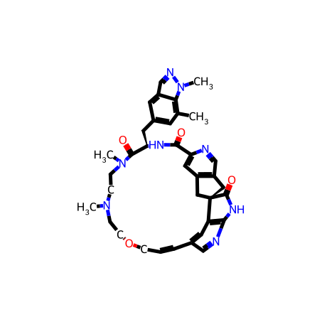 Cc1cc(C[C@H]2NC(=O)c3cc4c(cn3)C[C@@]3(C4)C(=O)Nc4ncc(cc43)/C=C/COCCN(C)CCN(C)C2=O)cc2cnn(C)c12